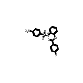 O=C(Nc1ccccc1NS(=O)(=O)c1ccc([N+](=O)[O-])cc1)c1ccc(F)cc1